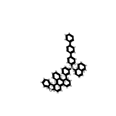 c1ccc(-c2ccc(-c3ccc(N(c4cccc(-c5cccc6c7ccc8oc9ccccc9c8c7c7ccccc7c56)c4)c4cccc5ccccc45)cc3)cc2)cc1